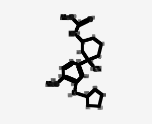 COC(=O)NC1CCCC(C#N)(c2ccc(OC)c(OC3CCCC3)c2)C1